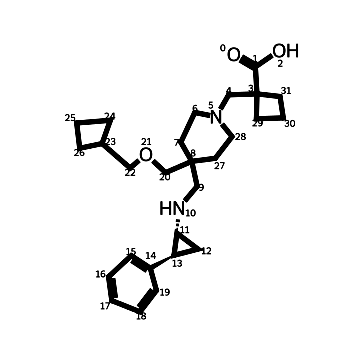 O=C(O)C1(CN2CCC(CN[C@@H]3C[C@H]3c3ccccc3)(COCC3CCC3)CC2)CCC1